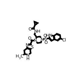 CC1Cc2nc(C(=O)N3CCN(S(=O)(=O)c4cc5cc(Cl)ccc5[nH]4)CC3CNC(=O)C3CC3)sc2CN1